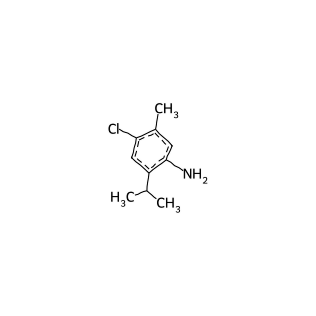 Cc1cc(N)c(C(C)C)cc1Cl